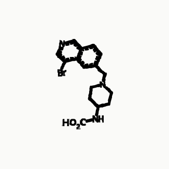 O=C(O)NC1CCN(Cc2ccc3cncc(Br)c3c2)CC1